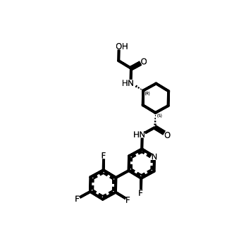 O=C(CO)N[C@@H]1CCC[C@H](C(=O)Nc2cc(-c3c(F)cc(F)cc3F)c(F)cn2)C1